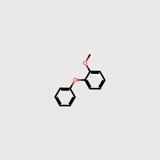 COc1cc[c]cc1Oc1ccccc1